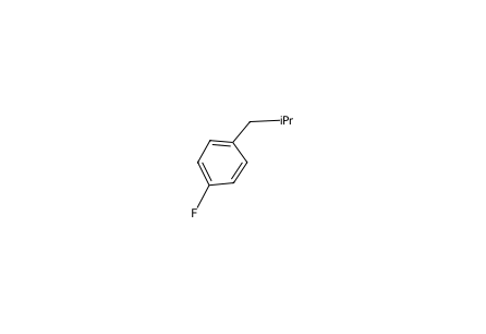 [CH2]C(C)Cc1ccc(F)cc1